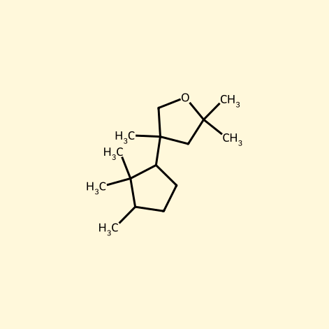 CC1CCC(C2(C)COC(C)(C)C2)C1(C)C